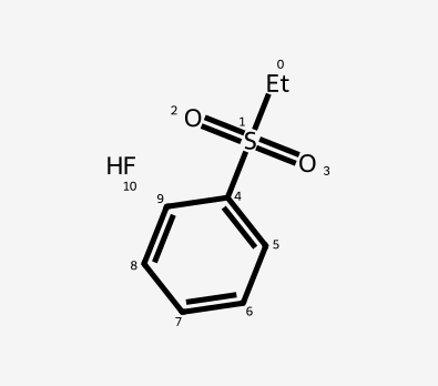 CCS(=O)(=O)c1ccccc1.F